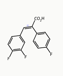 O=C(O)/C(=C/c1ccc(F)c(F)c1)c1ccc(F)cc1